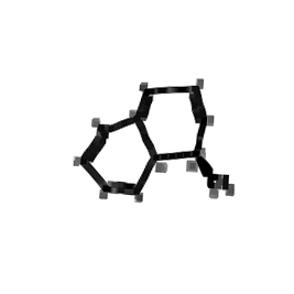 C[C@@H]1C=CC=C2N=CC=CC21